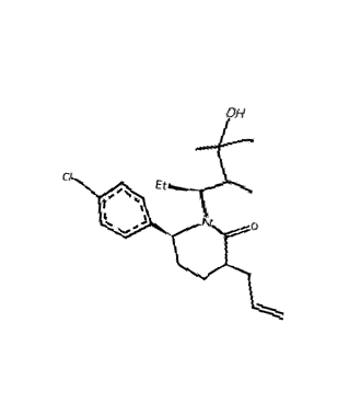 C=CCC1CC[C@@H](c2ccc(Cl)cc2)N([C@@H](CC)C(C)C(C)(C)O)C1=O